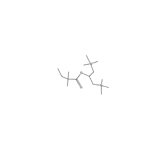 CCC(C)(C)C(=O)OC(C[Si](C)(C)C)C[Si](C)(C)C